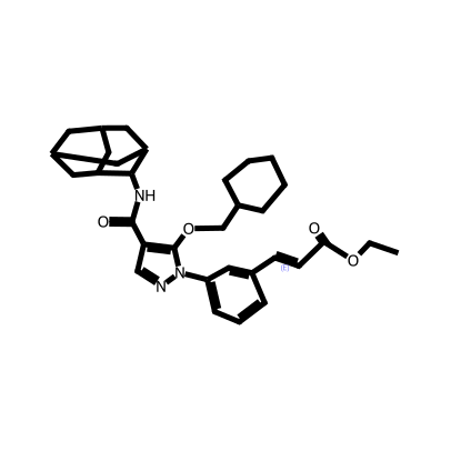 CCOC(=O)/C=C/c1cccc(-n2ncc(C(=O)NC3C4CC5CC(C4)CC3C5)c2OCC2CCCCC2)c1